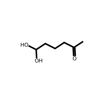 CC(=O)CCCC(O)O